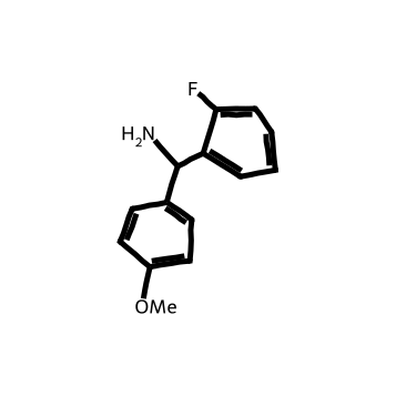 COc1ccc(C(N)c2ccccc2F)cc1